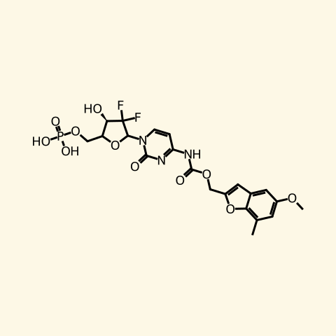 COc1cc(C)c2oc(COC(=O)Nc3ccn(C4OC(COP(=O)(O)O)[C@@H](O)C4(F)F)c(=O)n3)cc2c1